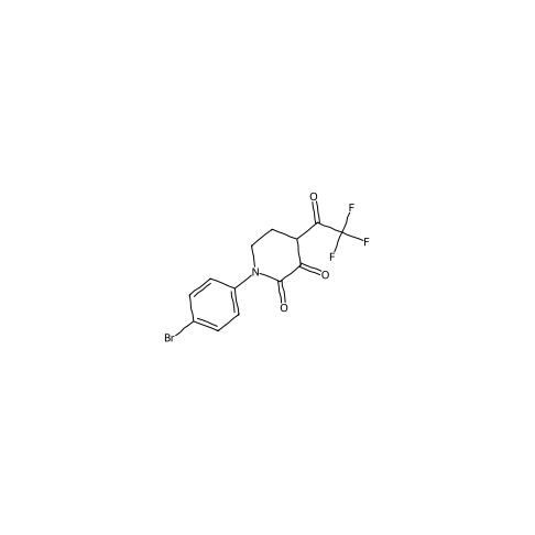 O=C1C(=O)N(c2ccc(Br)cc2)CCC1C(=O)C(F)(F)F